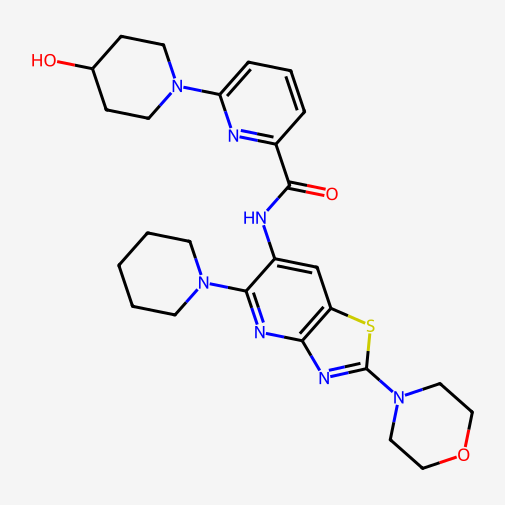 O=C(Nc1cc2sc(N3CCOCC3)nc2nc1N1CCCCC1)c1cccc(N2CCC(O)CC2)n1